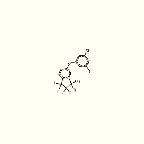 N#Cc1cc(F)cc(Oc2ccc3c(c2)C(O)(O)C(F)(F)C3(F)F)c1